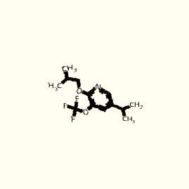 CC(C)COc1ncc(C(C)C)cc1OC(F)(F)F